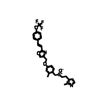 Cc1cc(OCc2coc(/C=C/c3ccc(OC(F)(F)F)cc3)n2)ccc1C[S+]([O-])CCc1ccnn1C